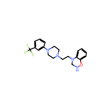 FC(F)(F)c1cccc(N2CCN(CCN3CNOc4ccccc43)CC2)c1